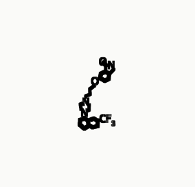 O=C1N=Cc2ccc(OCCCCN3CCN(c4cccc5ccc(C(F)(F)F)cc45)CC3)cc21